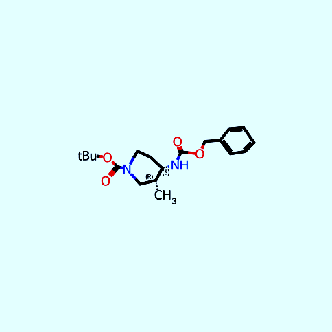 C[C@@H]1CN(C(=O)OC(C)(C)C)CC[C@@H]1NC(=O)OCc1ccccc1